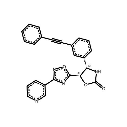 O=C1N[C@@H](c2cccc(C#Cc3ccccc3)c2)[C@H](c2nc(-c3cccnc3)no2)O1